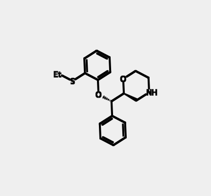 CCSc1ccccc1O[C@@H](c1ccccc1)[C@@H]1CNCCO1